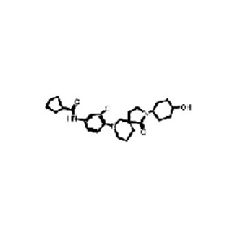 O=C(Nc1ccc(N2CCC[C@]3(CCN(C4CCC(O)CC4)C3=O)C2)c(Cl)c1)C1CCCC1